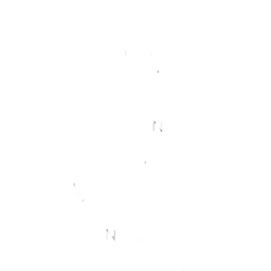 CC(=O)OCc1cccc(COc2cc3c(=O)ccn4c5ccc(Br)cc5c(c2)c34)n1